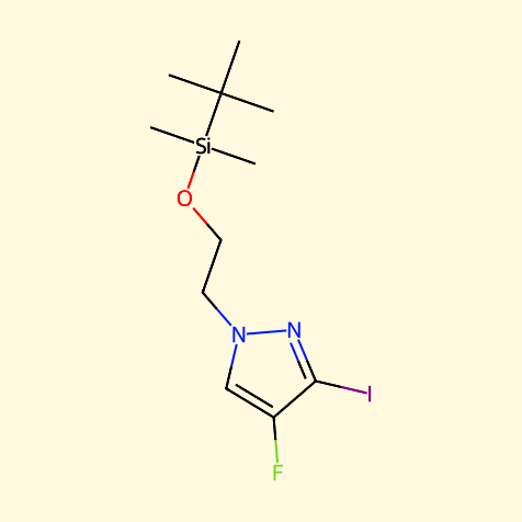 CC(C)(C)[Si](C)(C)OCCn1cc(F)c(I)n1